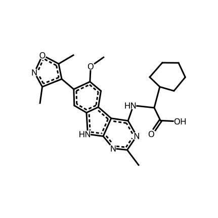 COc1cc2c(cc1-c1c(C)noc1C)[nH]c1nc(C)nc(NC(C(=O)O)C3CCCCC3)c12